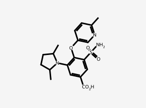 Cc1ccc(Oc2c(N3C(C)CCC3C)cc(C(=O)O)cc2S(N)(=O)=O)cn1